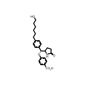 O=C1CCC([C@H](Oc2ccc(C(=O)O)cc2)c2ccc(CCCCCCO)cc2)N1